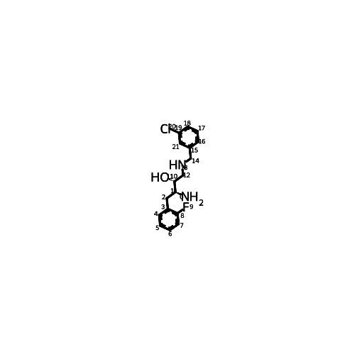 N[C@@H](Cc1ccccc1F)[C@H](O)CNCc1cccc(Cl)c1